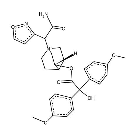 COc1ccc(C(O)(C(=O)O[C@H]2C[N+]3(C(C(N)=O)c4ccon4)CCC2CC3)c2ccc(OC)cc2)cc1